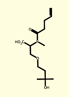 C=CCCC(=O)N(C)C(COCCC(C)(C)O)C(=O)O